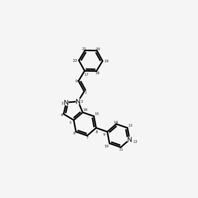 C(=Cn1ncc2ccc(-c3ccncc3)cc21)c1ccccc1